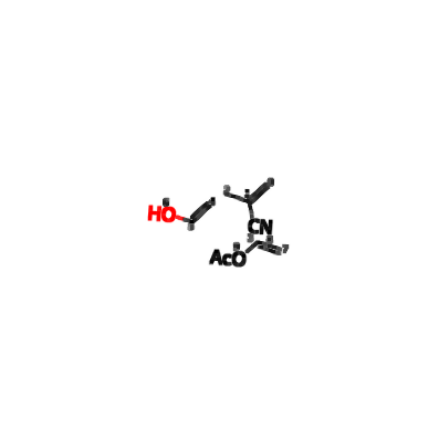 C=C(C)C#N.C=CO.C=COC(C)=O